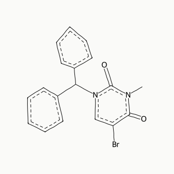 Cn1c(=O)c(Br)cn(C(c2ccccc2)c2ccccc2)c1=O